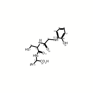 CC(C)C(NC(=O)C(CS)NC(=O)CNc1ccccc1O)C(=O)O